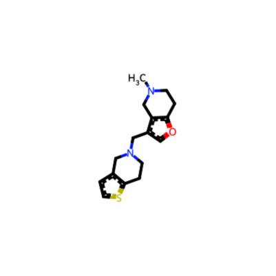 CN1CCc2occ(CN3CCc4sccc4C3)c2C1